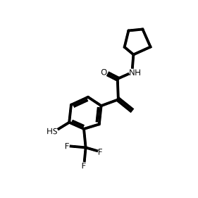 C=C(C(=O)NC1CCCC1)c1ccc(S)c(C(F)(F)F)c1